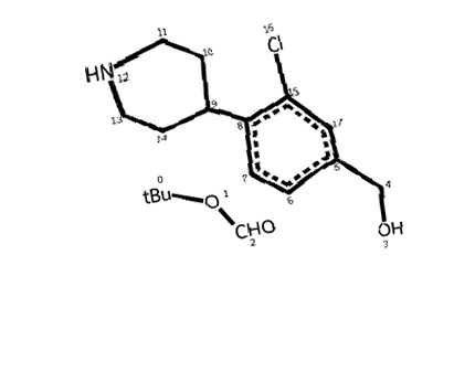 CC(C)(C)OC=O.OCc1ccc(C2CCNCC2)c(Cl)c1